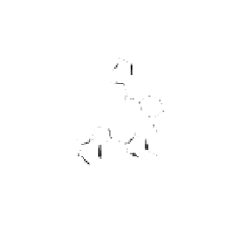 Fc1cc(F)c2[nH]cc(-c3ncc(F)c(N[C@@H]4CCC[C@H](Nc5ccncn5)C4)n3)c2c1